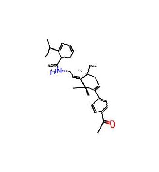 C=C(NC/C=C1/C(C)(C)C(c2ccc(C(C)=O)cc2)=CC[C@]1(C)CC)c1ccccc1C(C)C